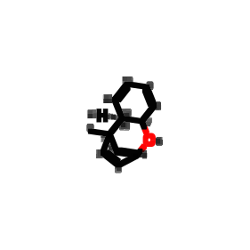 CC12C=CC(=C1)OC1C=CC=C[C@@H]12